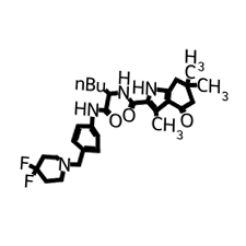 CCCCC(NC(=O)c1[nH]c2c(c1C)C(=O)CC(C)(C)C2)C(=O)Nc1ccc(CN2CCC(F)(F)CC2)cc1